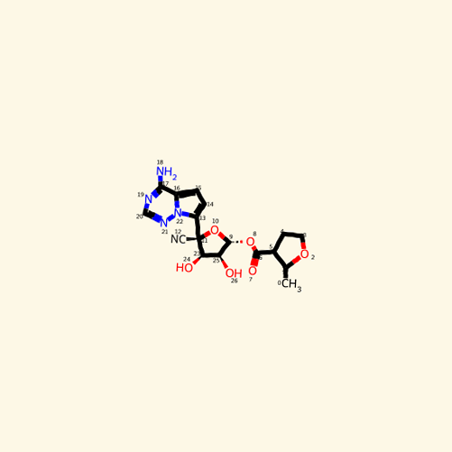 CC1OCCC1C(=O)O[C@H]1O[C@@](C#N)(c2ccc3c(N)ncnn23)[C@H](O)[C@@H]1O